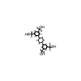 CC(C)(O)c1cc(C2CCC(c3cc(C(C)(C)O)cc(C(C)(C)O)c3)CC2)cc(C(C)(C)O)c1